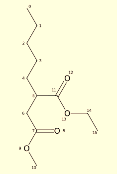 CCCCCC(CC(=O)OC)C(=O)OCC